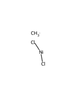 [CH3].[Cl][Ni][Cl]